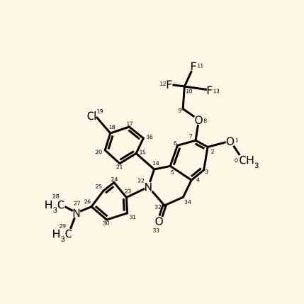 COc1cc2c(cc1OCC(F)(F)F)C(c1ccc(Cl)cc1)N(c1ccc(N(C)C)cc1)C(=O)C2